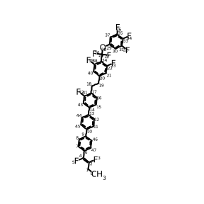 CC/C(F)=C(\F)c1ccc(-c2ccc(-c3ccc(CCc4cc(F)c(C(F)(F)Oc5cc(F)c(F)c(F)c5)c(F)c4)c(F)c3)cc2)cc1